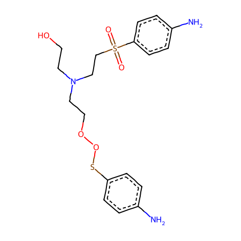 Nc1ccc(SOOCCN(CCO)CCS(=O)(=O)c2ccc(N)cc2)cc1